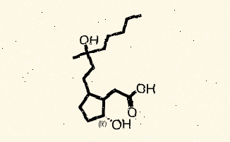 CCCCCC(C)(O)CCC1CC[C@@H](O)C1CC(=O)O